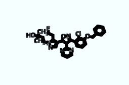 CC(C)(O)CCn1ncc(C2ON=C(c3cccc(OCc4ccccc4)c3Cl)C2c2ncccn2)c1CCF